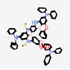 CSN1c2cc3c(cc2B2c4cc5c(cc4N(SC)c4cc(N(c6ccccc6)c6ccccc6)cc1c42)Oc1cc(N(c2ccccc2)c2ccccc2)cc2c1B5c1ccccc1O2)B1c2ccccc2Oc2cc(N(c4ccccc4)c4ccccc4)cc(c21)N3